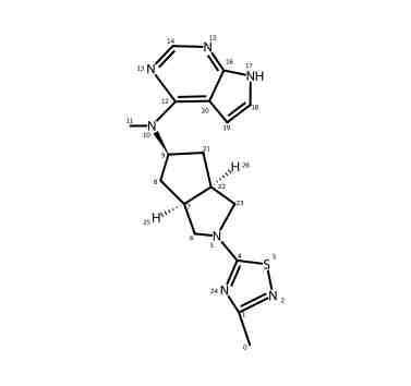 Cc1nsc(N2C[C@H]3C[C@@H](N(C)c4ncnc5[nH]ccc45)C[C@H]3C2)n1